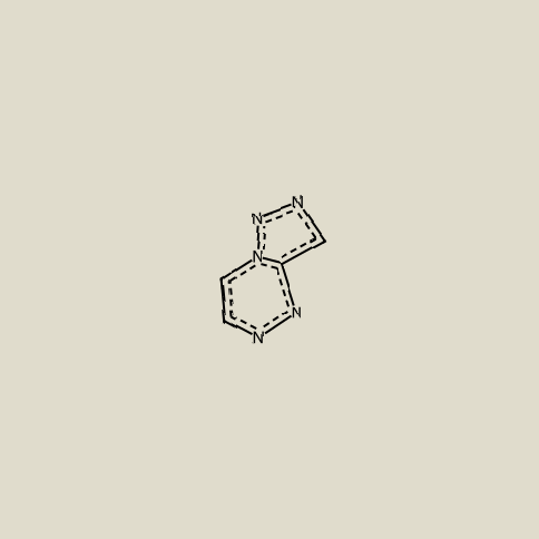 c1cn2nncc2nn1